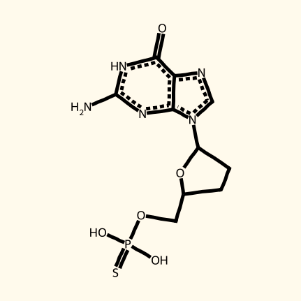 Nc1nc2c(ncn2C2CCC(COP(O)(O)=S)O2)c(=O)[nH]1